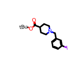 CC(C)(C)OC(=O)C1CCN(Cc2cccc(I)c2)CC1